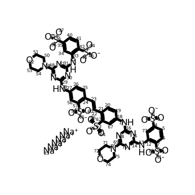 O=S(=O)([O-])c1ccc(S(=O)(=O)[O-])c(Nc2nc(Nc3ccc(C=Cc4ccc(Nc5nc(Nc6cc(S(=O)(=O)[O-])ccc6S(=O)(=O)[O-])nc(N6CCOCC6)n5)cc4S(=O)(=O)[O-])c(S(=O)(=O)[O-])c3)nc(N3CCOCC3)n2)c1.[Na+].[Na+].[Na+].[Na+].[Na+].[Na+]